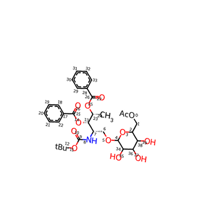 CC(=O)OCC1OC(OC[C@H](NC(=O)OC(C)(C)C)[C@H](OC(=O)c2ccccc2)[C@@H](C)OC(=O)c2ccccc2)C(O)C(O)C1O